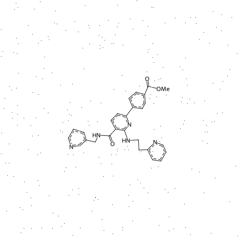 COC(=O)c1ccc(-c2ccc(C(=O)NCc3cccnc3)c(NCCc3ccccn3)n2)cc1